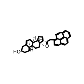 C[C@]12CC[C@H]3[C@@H](CC=C4C[C@@H](O)CC[C@@]43C)[C@@H]1CC[C@@H]2C(=O)Cc1ccc2ccc3cccc4ccc1c2c34